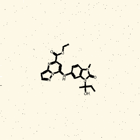 CCOC(=O)c1cc(Nc2ccc3c(c2)n(C(C)(O)CC)c(=O)n3C)n2nccc2n1